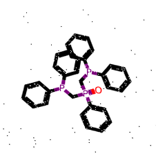 O=P(CP(c1ccccc1)c1ccccc1)(CP(c1ccccc1)c1ccccc1)c1ccccc1